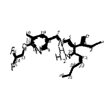 C=C(CC)/C(=C/NCc1cnc(OCC(F)F)c(C)c1)C(N)/C=C\CCC